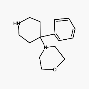 c1ccc(C2(N3CCOCC3)CCNCC2)cc1